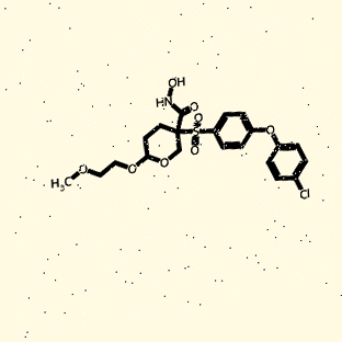 COCCOC1CCC(C(=O)NO)(S(=O)(=O)c2ccc(Oc3ccc(Cl)cc3)cc2)CO1